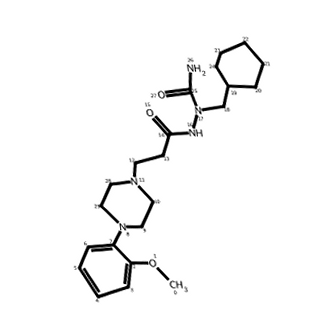 COc1ccccc1N1CCN(CCC(=O)NN(CC2CCCCC2)C(N)=O)CC1